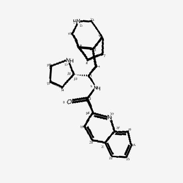 O=C(NC(CC1C2CCC1CNC2)[C@@H]1CCCN1)c1ccc2ccccc2n1